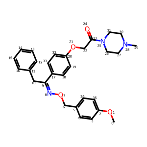 COc1ccc(CON=C(Cc2ccccc2)c2ccc(OCC(=O)N3CCN(C)CC3)cc2)cc1